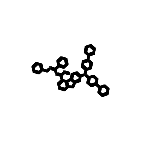 C=N/C(=N\C(=N/Cc1ccccc1)c1ccccc1)c1cccc2c1-c1ccc(N(C3=CC=C(C4=CC=CCC4)CC3)c3ccc(-c4ccccc4)cc3)cc1C2